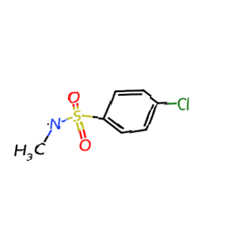 C[N]S(=O)(=O)c1ccc(Cl)cc1